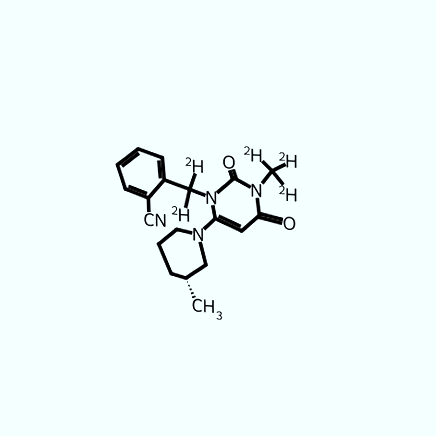 [2H]C([2H])([2H])n1c(=O)cc(N2CCC[C@@H](C)C2)n(C([2H])([2H])c2ccccc2C#N)c1=O